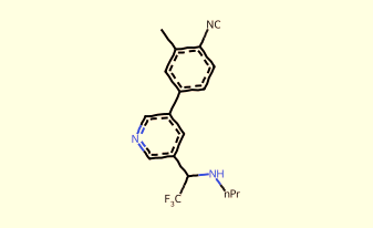 [C-]#[N+]c1ccc(-c2cncc(C(NCCC)C(F)(F)F)c2)cc1C